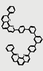 c1ccc(-c2ccc3ccc4ccc(-c5ccc(-c6cccc(-c7cccc(-c8ccc(-c9ccc%10ccc%11ccc(-c%12ccccc%12)nc%11c%10n9)cc8)c7)c6)cc5)nc4c3n2)cc1